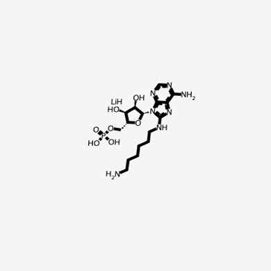 NCCCCCCNc1nc2c(N)ncnc2n1[C@@H]1O[C@H](COP(=O)(O)O)[C@@H](O)[C@H]1O.[LiH]